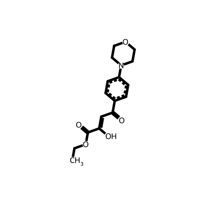 CCOC(=O)/C(O)=C/C(=O)c1ccc(N2CCOCC2)cc1